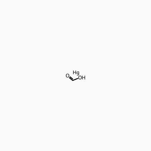 O=CO.[Hg]